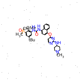 COc1c(NC(=O)Nc2ccc(Oc3ccnc(NC4CCN(C)CC4)n3)c3ccccc23)cc(C(C)(C)C)cc1P(C)(C)=O